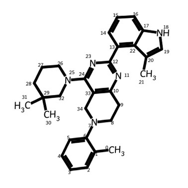 Cc1ccccc1N1CCc2nc(-c3cccc4[nH]cc(C)c34)nc(N3CCCC(C)(C)C3)c2C1